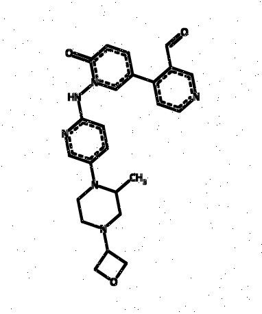 CC1CN(C2COC2)CCN1c1ccc(Nn2cc(-c3ccncc3C=O)ccc2=O)nc1